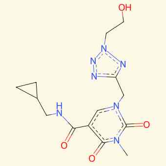 Cn1c(=O)c(C(=O)NCC2CC2)cn(Cc2nnn(CCO)n2)c1=O